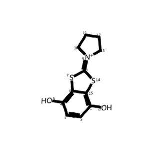 Oc1ccc(O)c2sc(=[N+]3CCCC3)sc12